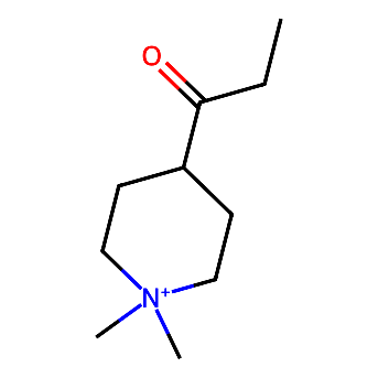 CCC(=O)C1CC[N+](C)(C)CC1